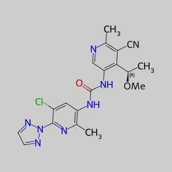 CO[C@H](C)c1c(NC(=O)Nc2cc(Cl)c(-n3nccn3)nc2C)cnc(C)c1C#N